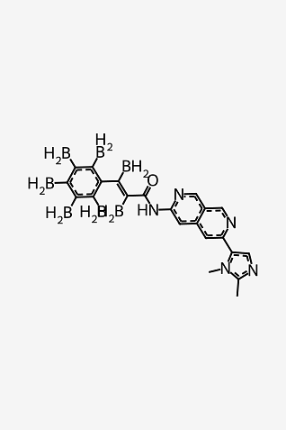 B/C(C(=O)Nc1cc2cc(-c3cnc(C)n3C)ncc2cn1)=C(/B)c1c(B)c(B)c(B)c(B)c1B